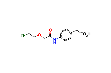 O=C(O)Cc1ccc(NC(=O)COCCCl)cc1